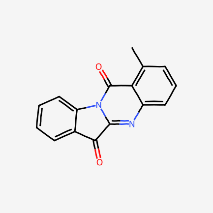 Cc1cccc2nc3n(c(=O)c12)-c1ccccc1C3=O